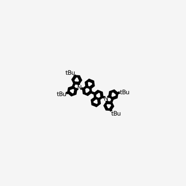 CC(C)(C)c1ccc2c(c1)c1cc(C(C)(C)C)ccc1n2-c1ccc(-c2ccc(-n3c4ccc(C(C)(C)C)cc4c4cc(C(C)(C)C)ccc43)c3ccccc23)c2ccccc12